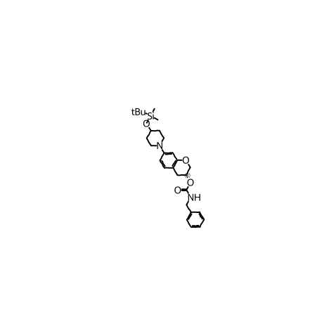 CC(C)(C)[Si](C)(C)OC1CCN(c2ccc3c(c2)OC[C@H](OC(=O)NCc2ccccc2)C3)CC1